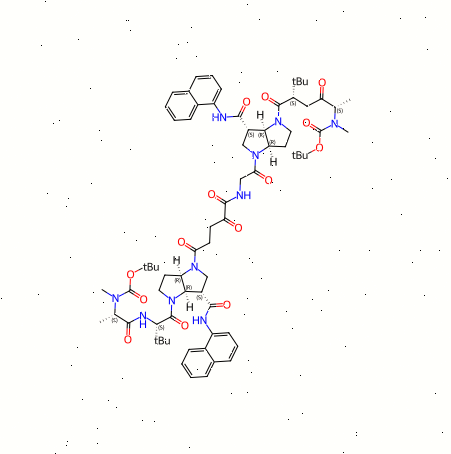 C[C@@H](C(=O)C[C@H](C(=O)N1CC[C@@H]2[C@H]1[C@@H](C(=O)Nc1cccc3ccccc13)CN2C(=O)CNC(=O)C(=O)CCC(=O)N1C[C@H](C(=O)Nc2cccc3ccccc23)[C@@H]2[C@H]1CCN2C(=O)[C@@H](NC(=O)[C@H](C)N(C)C(=O)OC(C)(C)C)C(C)(C)C)C(C)(C)C)N(C)C(=O)OC(C)(C)C